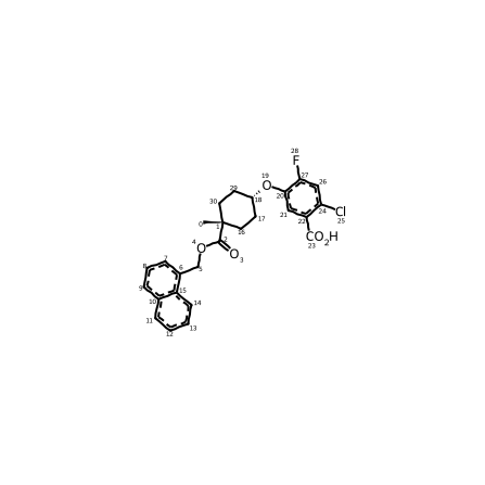 C[C@]1(C(=O)OCc2cccc3ccccc23)CC[C@@H](Oc2cc(C(=O)O)c(Cl)cc2F)CC1